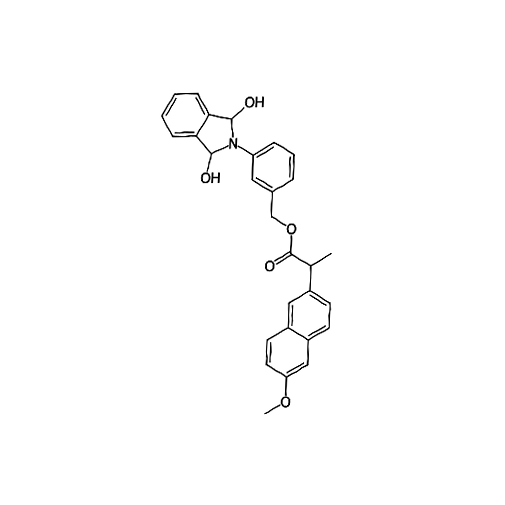 COc1ccc2cc(C(C)C(=O)OCc3cccc(N4C(O)c5ccccc5C4O)c3)ccc2c1